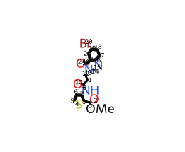 COC(=O)c1sccc1NC(=O)CCn1cnc2ccc(Br)cc2c1=O